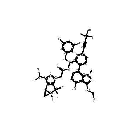 Cn1nc(NCC#N)c2c(Cl)ccc(-c3ccc(C#CC(C)(C)O)nc3[C@H](Cc3cc(F)cc(F)c3)NC(=O)Cn3nc(C(F)F)c4c3C(F)(F)[C@@H]3CC43)c21